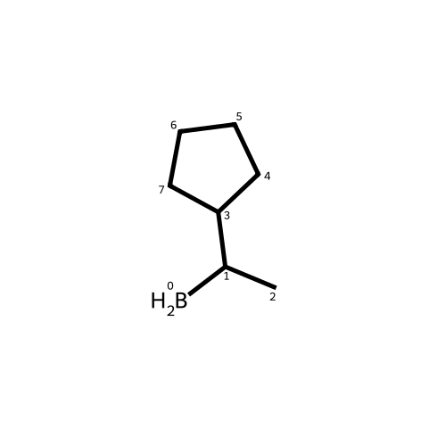 BC(C)C1CCCC1